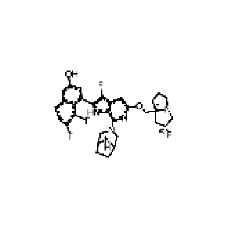 Oc1cc(-c2[nH]c3c(N4CC5CCC(C4)N5)nc(OC[C@@]45CCCN4C[C@H](F)C5)cc3c2F)c2c(F)c(F)ccc2c1